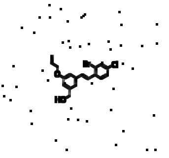 C=CCOc1cc(/C=C/c2ccc(Cl)cc2Br)cc(CO)c1